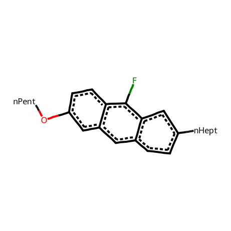 CCCCCCCc1ccc2cc3cc(OCCCCC)ccc3c(F)c2c1